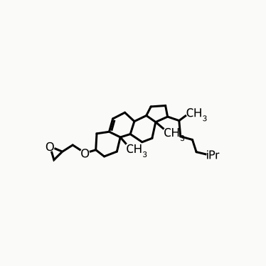 CC(C)CCCC(C)C1CCC2C3CC=C4CC(OCC5CO5)CCC4(C)C3CCC12C